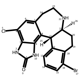 O=c1[nH]c2c(Cl)cc3c(c2[nH]1)[C@H]1c2cccc(Br)c2CC[C@@H]1NCC3